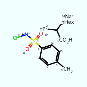 CCCCCCC(CCC)C(=O)O.Cc1ccc(S(=O)(=O)[N-]Cl)cc1.[Na+]